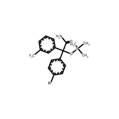 C[Si](C)(C)OC(C(N)=O)(c1ccc(Br)cc1)c1cccc(C(F)(F)F)c1